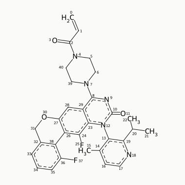 C=CC(=O)N1CCN(c2nc(=O)n(-c3c(C)ccnc3C(C)C)c3c(F)c4c(cc23)OCc2cccc(F)c2-4)CC1